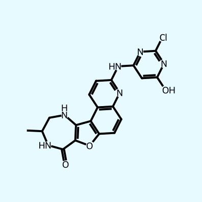 CC1CNc2c(oc3ccc4nc(Nc5cc(O)nc(Cl)n5)ccc4c23)C(=O)N1